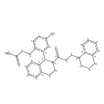 O=C(O)COc1ccc(Cl)cc1C1c2ccccc2CCN1C(=O)CCN1CCCc2ccccc21